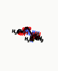 Cc1ncsc1-c1ccc([C@H](CC(=O)NCCCCCNC(=O)c2ccc3c(c2)[C@H](NC(=O)C(=N)/C=C(\O)c2ccc(C(=O)N(C)C)c(O)c2)CC3)NC(=O)[C@@H]2C[C@@H](O)CN2C(=O)[C@@H](NC(=O)C2(F)CC2)C(C)(C)C)cc1